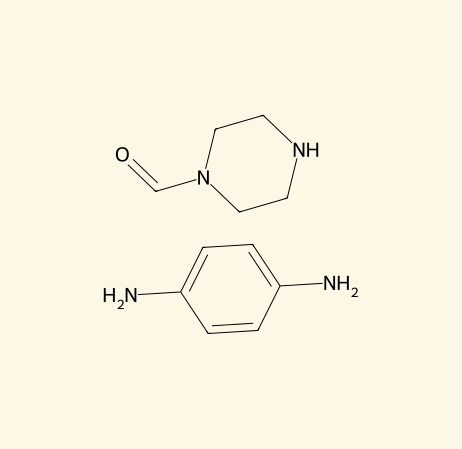 Nc1ccc(N)cc1.O=CN1CCNCC1